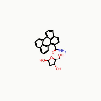 NC(=O)c1ccc2cccc3c4cccc5cccc(c1c23)c54.OC[C@H]1OC(O)C[C@@H]1O